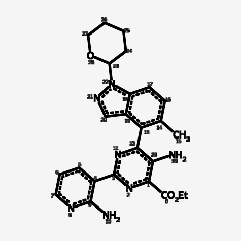 CCOC(=O)c1nc(-c2cccnc2N)nc(-c2c(C)ccc3c2cnn3C2CCCCO2)c1N